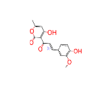 COc1cc(/C=C/C(=O)c2c(O)cc(C)oc2=O)ccc1O